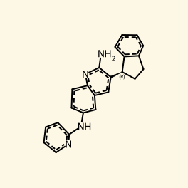 Nc1nc2ccc(Nc3ccccn3)cc2cc1[C@@H]1CCc2ccccc21